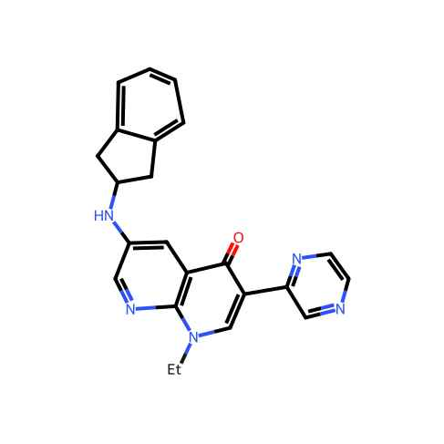 CCn1cc(-c2cnccn2)c(=O)c2cc(NC3Cc4ccccc4C3)cnc21